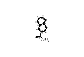 C=C([SiH3])c1ccc2ccccc2c1